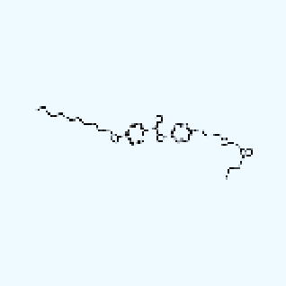 CCCCCCCCCCOc1ccc(C(=O)Oc2ccc(CCCOC[C@@H]3O[C@H]3CCC)cc2)cc1